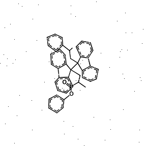 CC(CC1(C2(CC(C)c3ccccc3)c3ccccc3-c3ccccc32)c2ccccc2-c2ccccc21)C(=O)Oc1ccccc1